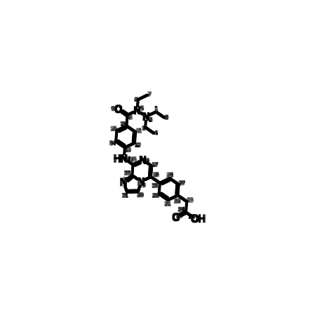 CCN(CC)N(CC)C(=O)c1ccc(Nc2ncc(-c3ccc(CC(=O)O)cc3)n3ccnc23)cc1